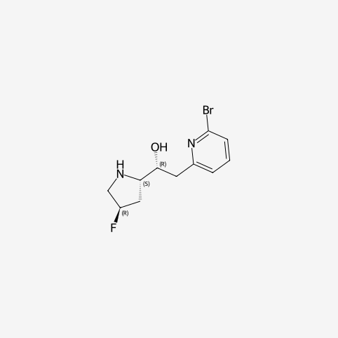 O[C@H](Cc1cccc(Br)n1)[C@@H]1C[C@@H](F)CN1